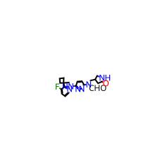 O=CN(CC1CNC(=O)C1)c1ccc(NCC2(c3ncccc3F)CCC2)nn1